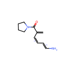 C=C(/C=C\C=C\N)C(=O)N1CCCC1